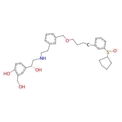 [O-][S+](c1cccc(CCCCOCc2cccc(CCNC[C@H](O)c3ccc(O)c(CO)c3)c2)c1)C1CCCC1